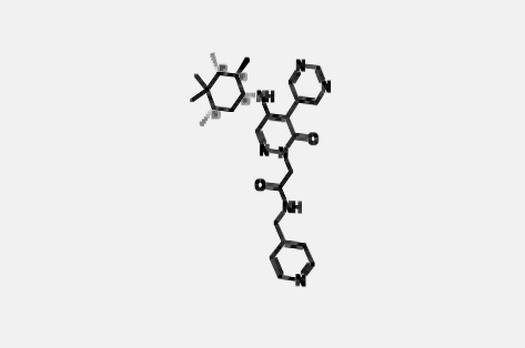 C[C@@H]1[C@@H](C)C(C)(C)[C@@H](C)C[C@H]1Nc1cnn(CC(=O)NCc2ccncc2)c(=O)c1-c1cncnc1